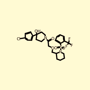 O=C(COCC1CCCCN1S(=O)(=O)c1ccccc1C(F)(F)F)N1CCC(O)(c2ccc(Cl)cc2)CC1